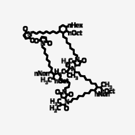 C=C(C)C(=O)N(CCCCCCCCC(C(C)CCCCCCCC)C(CCCCCCCCC)CCCCCCCCN(C(=O)C(=C)C)C1CC(=O)N(CCCCCCCCC(C(C)CCCCCCCC)C(CCCCCCCCC)CCCCCCCCN2C(=O)C=CC2=O)C1=O)C1CC(=O)N(CCCCCCCCC2C(CCCCCCCCN3C(=O)C=CC3=O)CCC(CCCCCC)C2CCCCCCCC)C1=C